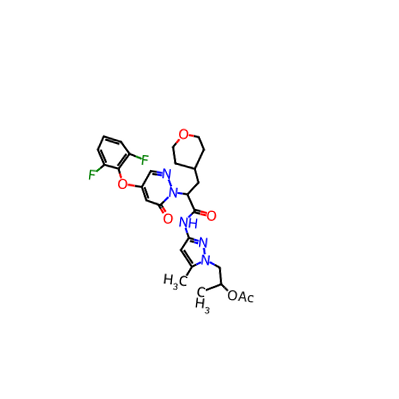 CC(=O)OC(C)Cn1nc(NC(=O)C(CC2CCOCC2)n2ncc(Oc3c(F)cccc3F)cc2=O)cc1C